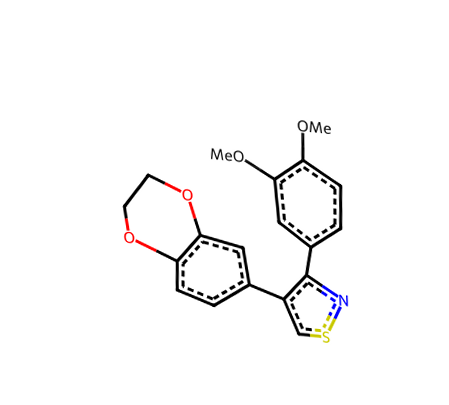 COc1ccc(-c2nscc2-c2ccc3c(c2)OCCO3)cc1OC